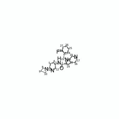 O=C(Nc1ccc(N2CCC2)nc1)c1cc2ccncc2n1Cc1ccccc1F